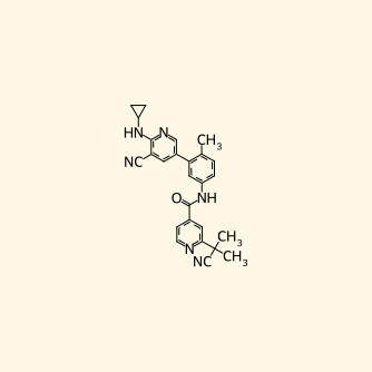 Cc1ccc(NC(=O)c2ccnc(C(C)(C)C#N)c2)cc1-c1cnc(NC2CC2)c(C#N)c1